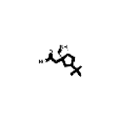 CC(C)(C)C1CC[C@](CN)(CC(=O)O)C1